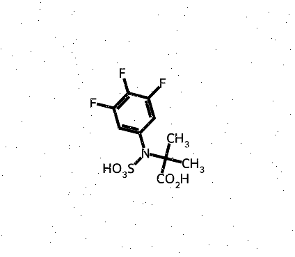 CC(C)(C(=O)O)N(c1cc(F)c(F)c(F)c1)S(=O)(=O)O